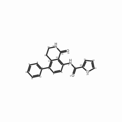 O=C(Nc1ccc(-c2ccccc2)c2c1C(=O)NCC2)c1ccco1